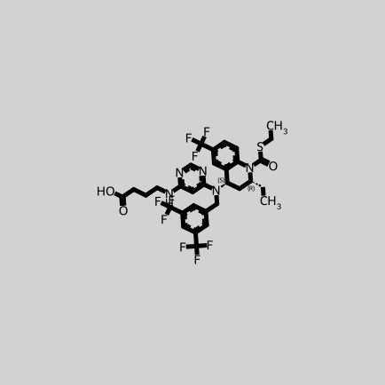 CCSC(=O)N1c2ccc(C(F)(F)F)cc2[C@@H](N(Cc2cc(C(F)(F)F)cc(C(F)(F)F)c2)c2cc(NCCCC(=O)O)ncn2)C[C@H]1CC